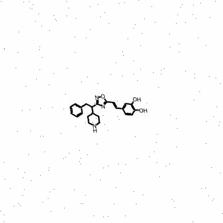 Oc1ccc(C=Cc2nc(C(Cc3ccccc3)C3CCNCC3)no2)cc1O